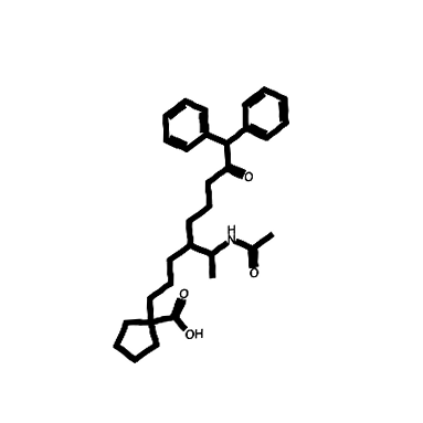 CC(=O)NC(C)C(CCCC(=O)C(c1ccccc1)c1ccccc1)CCCC1(C(=O)O)CCCC1